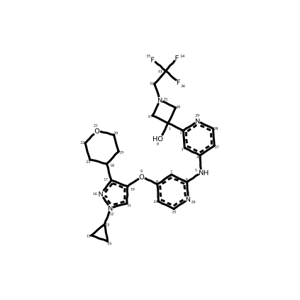 OC1(c2cc(Nc3cc(Oc4cn(C5CC5)nc4C4CCOCC4)ccn3)ccn2)CN(CC(F)(F)F)C1